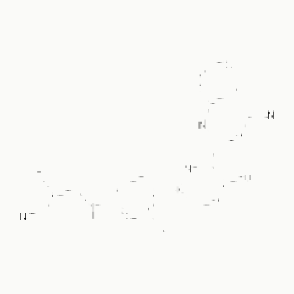 Cc1cc(N/C=C(/F)C=N)ccc1-n1ccc(=O)c(/C(=C/C=N)Nc2ccccc2)n1